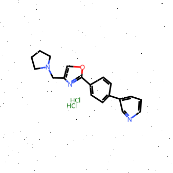 Cl.Cl.c1cncc(-c2ccc(-c3nc(CN4CCCC4)co3)cc2)c1